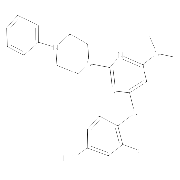 CN(C)c1cc(Nc2ccc(C(F)(F)F)cc2Cl)nc(N2CCN(c3ccccc3)CC2)n1